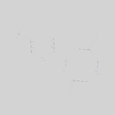 CN1CC(=O)OB(c2ccc(C(F)(F)F)cn2)OC(=O)C1